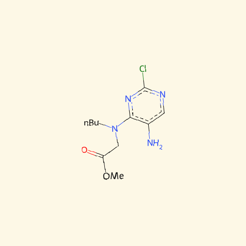 CCCCN(CC(=O)OC)c1nc(Cl)ncc1N